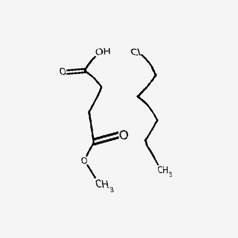 CCCCCCl.COC(=O)CCC(=O)O